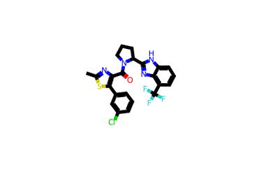 Cc1nc(C(=O)N2CCCC2c2nc3c(C(F)(F)F)cccc3[nH]2)c(-c2cccc(Cl)c2)s1